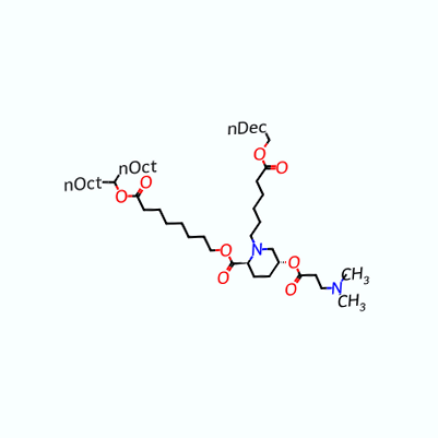 CCCCCCCCCCCOC(=O)CCCCCN1C[C@H](OC(=O)CCN(C)C)CC[C@H]1C(=O)OCCCCCCCC(=O)OC(CCCCCCCC)CCCCCCCC